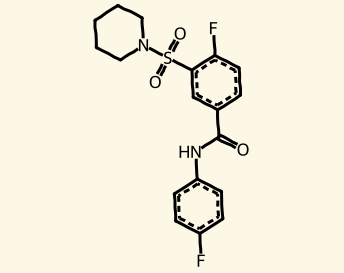 O=C(Nc1ccc(F)cc1)c1ccc(F)c(S(=O)(=O)N2CCCCC2)c1